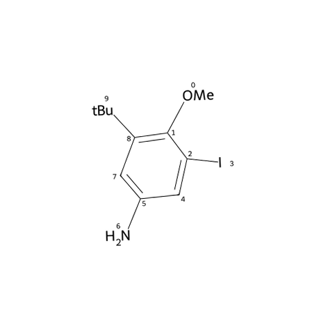 COc1c(I)cc(N)cc1C(C)(C)C